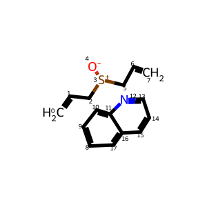 C=CC[S+]([O-])CC=C.c1ccc2ncccc2c1